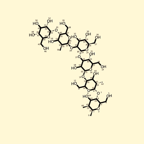 C[C@@H]1OC(CO)[C@@H](O[C@@H]2OC(CO)[C@@H](O[C@@H]3OC(CO)[C@@H](O)C(O[C@H]4O[C@H](CO)[C@@H](O)C(O)C4O[C@@H]4OC(CO)[C@@H](O[C@@H]5OC(CO)[C@H](O)C(O)[C@@H]5O)C(O)[C@@H]4C)C3O)C(O)[C@@H]2C)C(O)[C@@H]1C